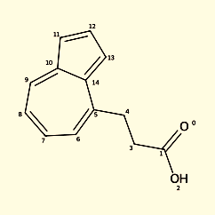 O=C(O)CCc1ccccc2cccc1-2